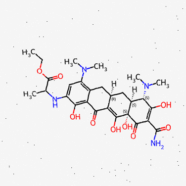 CCOC(=O)C(C)Nc1cc(N(C)C)c2c(c1O)C(=O)C1=C(O)[C@]3(O)C(=O)C(C(N)=O)=C(O)[C@@H](N(C)C)[C@@H]3C[C@@H]1C2